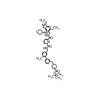 CCc1nc2c(cnn2CC)c(NC2CCOCC2)c1CNC(=O)c1cccc(C(=O)NCc2ccc(C)c(-c3cccc(CC4CCN(C(=O)OC(C)(C)C)CC4)c3)c2)n1